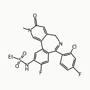 CCS(=O)(=O)Nc1cc2c(cc1F)C(c1ccc(F)cc1Cl)=NCc1cc(=O)n(C)cc1-2